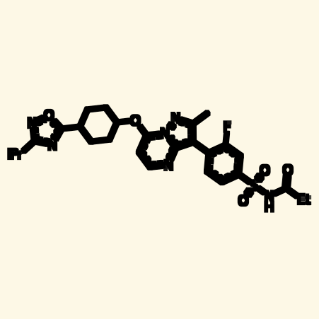 CCC(=O)NS(=O)(=O)c1ccc(-c2c(C)nn3c(OC4CCC(c5nc(C(C)C)no5)CC4)ccnc23)c(F)c1